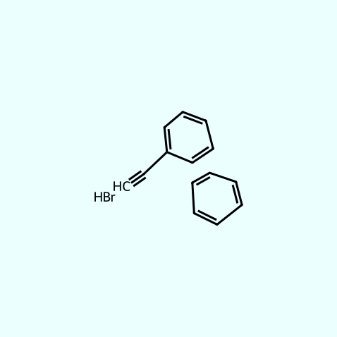 Br.C#Cc1ccccc1.c1ccccc1